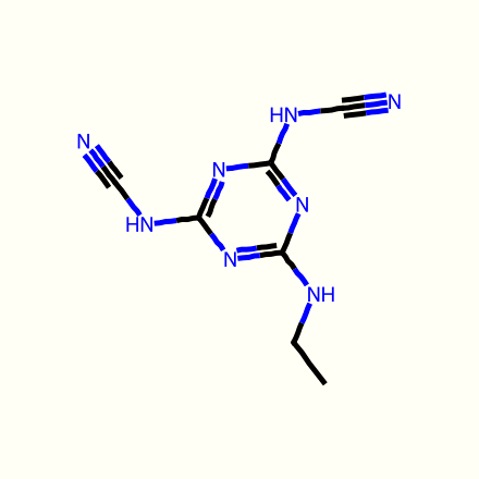 CCNc1nc(NC#N)nc(NC#N)n1